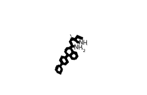 C[C@@H](CC(N)C1CCC(C2CC=C(C3C=CCCC3)CC2)C2CCCCC12)C1C=CNC1